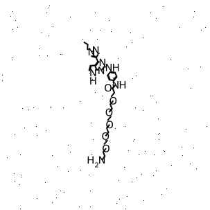 CCCn1cc(-c2nc(Nc3ccc(NC(=O)CCOCCOCCOCCOCCOCCN)cc3)nc3[nH]ccc23)cn1